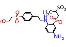 CC(CS(=O)(=O)c1cc(N)ccc1NCCc1ccc(S(=O)(=O)CCO)cc1)S(=O)(=O)O